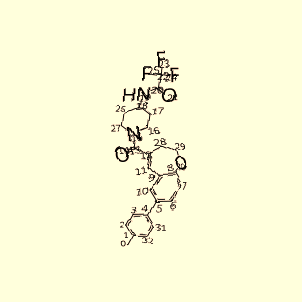 Cc1ccc(-c2ccc3c(c2)C=C(C(=O)N2CCC(NC(=O)C(F)(F)F)CC2)CCO3)cc1